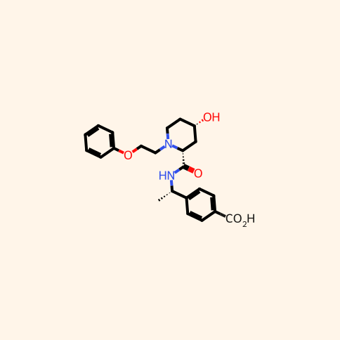 C[C@H](NC(=O)[C@H]1C[C@@H](O)CCN1CCOc1ccccc1)c1ccc(C(=O)O)cc1